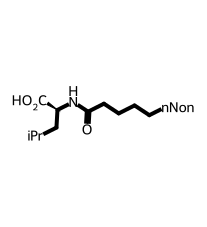 CCCCCCCCCCCCCC(=O)N[C@@H](CC(C)C)C(=O)O